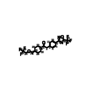 O=C(Cc1ccc(-c2noc(C(F)(F)F)n2)cc1)N1CCC(=NOCC(F)(F)F)CC1